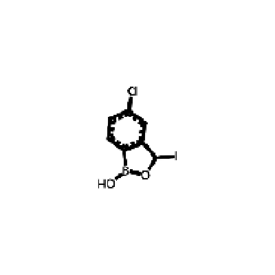 OB1OC(I)c2cc(Cl)ccc21